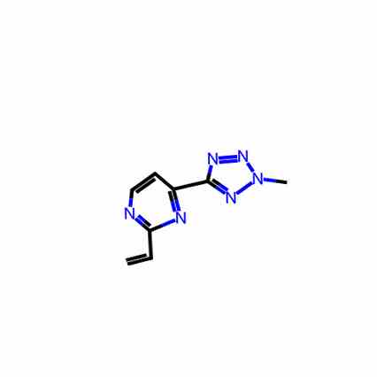 C=Cc1nccc(-c2nnn(C)n2)n1